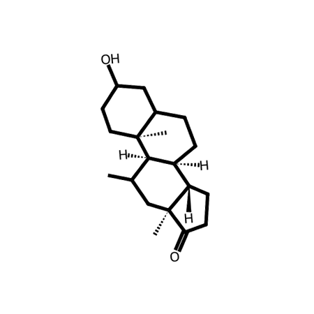 CC1C[C@]2(C)C(=O)CC[C@H]2[C@@H]2CCC3CC(O)CC[C@]3(C)[C@H]12